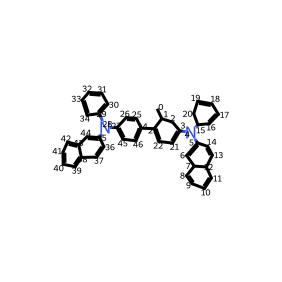 CC1CC(N(C2=CC3C=CC=CC3C=C2)C2C=CC=CC2)=CC=C1c1ccc(N(c2ccccc2)c2ccc3ccccc3c2)cc1